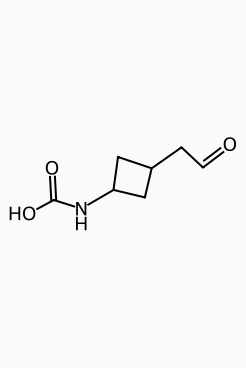 O=CCC1CC(NC(=O)O)C1